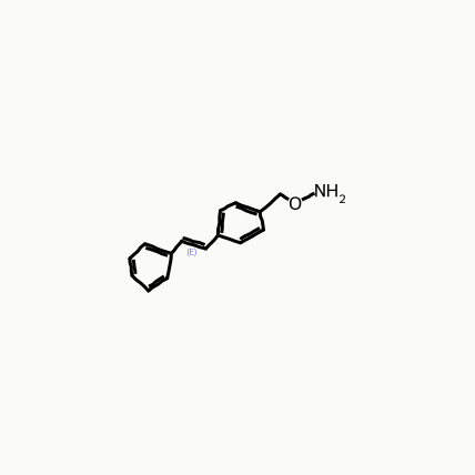 NOCc1ccc(/C=C/c2ccccc2)cc1